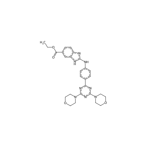 CCOC(=O)c1ccc2nc(Nc3ccc(-c4nc(N5CCOCC5)nc(N5CCOCC5)n4)cc3)[nH]c2c1